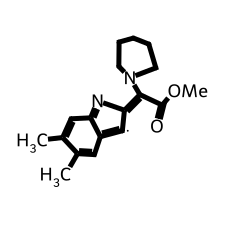 COC(=O)C(=C1[C]=c2cc(C)c(C)cc2=N1)N1CCCCC1